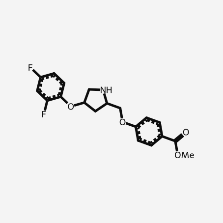 COC(=O)c1ccc(OCC2CC(Oc3ccc(F)cc3F)CN2)cc1